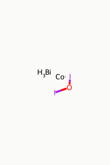 IOI.[BiH3].[Co]